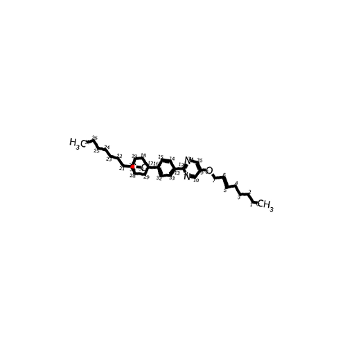 CCCCCC=CCOc1cnc(-c2ccc(C34CCC(CCCCCCC)(CC3)CC4)cc2)nc1